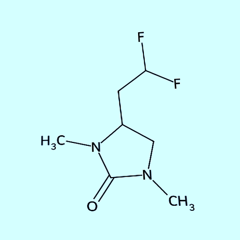 CN1CC(CC(F)F)N(C)C1=O